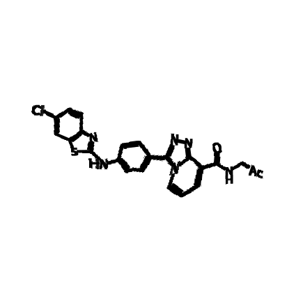 CC(=O)CNC(=O)c1cccn2c(-c3ccc(Nc4nc5ccc(Cl)cc5s4)cc3)nnc12